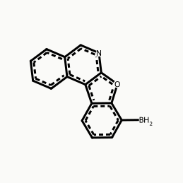 Bc1cccc2c1oc1ncc3ccccc3c12